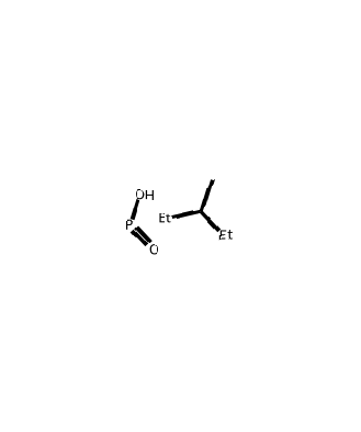 CCC(C)CC.O=PO